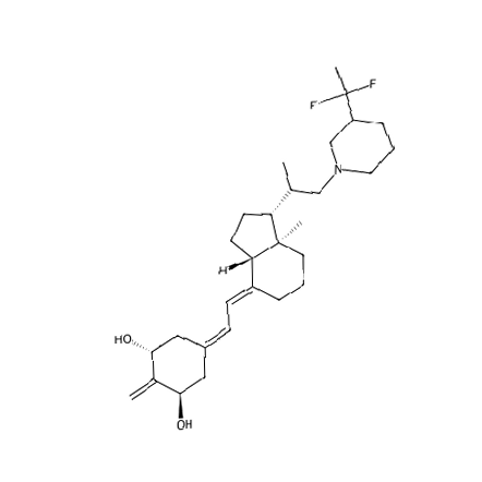 C=C1[C@H](O)CC(=CC=C2CCC[C@]3(C)[C@@H](C(C)CN4CCCC(C(C)(F)F)C4)CC[C@@H]23)C[C@H]1O